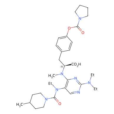 CCN(CC)c1ncc(N(CC)C(=O)N2CCC(C)CC2)c(N(C)[C@@H](Cc2ccc(OC(=O)N3CCCC3)cc2)C(=O)O)n1